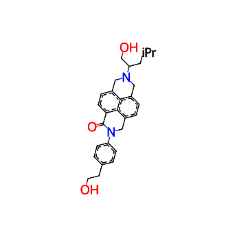 CC(C)CC(CO)N1Cc2ccc3c4c(ccc(c24)C1)C(=O)N(c1ccc(CCO)cc1)C3